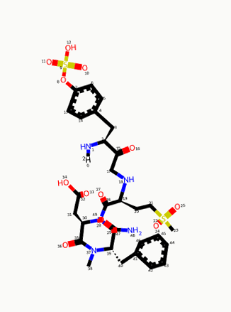 [2H]N[C@@H](Cc1ccc(OS(=O)(=O)O)cc1)C(=O)CN[C@@H](CCS(C)(=O)=O)C(=O)N(C)[C@H](CC(=O)O)C(=O)N(C)[C@@H](Cc1ccccc1)C(N)=O